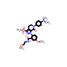 COCCNC(=O)c1cc(OC)ccc1-n1nc(S(C)(=O)=O)c2c1C(=O)N(c1ccc(N(C)C)cc1)CC2